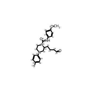 COc1ccc(NC(=O)N2CCN(c3ccc(F)cc3)CC2CCCC=O)cc1